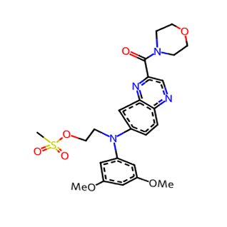 COc1cc(OC)cc(N(CCOS(C)(=O)=O)c2ccc3ncc(C(=O)N4CCOCC4)nc3c2)c1